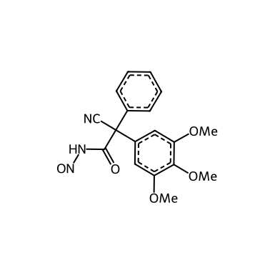 COc1cc(C(C#N)(C(=O)NN=O)c2ccccc2)cc(OC)c1OC